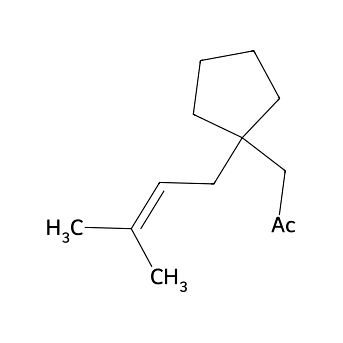 CC(=O)CC1(CC=C(C)C)CCCC1